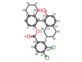 O=C(Oc1ccc2c(c1-c1c(O)ccc3c1CCCC3)CCCC2)c1ccc(Cl)c(Cl)c1